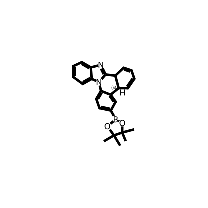 CC1(C)OB(c2ccc3c(c2)[C@H]2C=CC=CC2c2nc4ccccc4n2-3)OC1(C)C